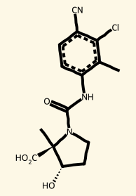 Cc1c(NC(=O)N2CC[C@H](O)[C@@]2(C)C(=O)O)ccc(C#N)c1Cl